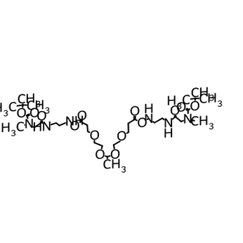 CC(OCCOCCC(=O)ONCCNC(=O)CN(C)C(=O)OC(C)(C)C)OCCOCCC(=O)ONCCNC(=O)CN(C)C(=O)OC(C)(C)C